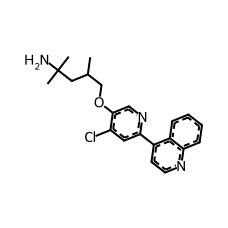 CC(COc1cnc(-c2ccnc3ccccc23)cc1Cl)CC(C)(C)N